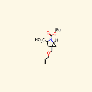 C=CCOCC12C[C@@H](C(=O)O)N(C(=O)OC(C)(C)C)[C@@H]1C2